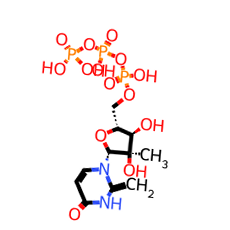 C=C1NC(=O)C=CN1[C@@H]1O[C@H](COP(=O)(O)OP(=O)(O)OP(=O)(O)O)[C@@H](O)[C@@]1(C)O